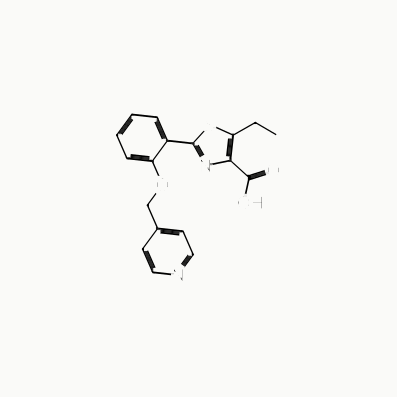 CCc1sc(-c2ccccc2OCc2ccncc2)nc1C(=O)O